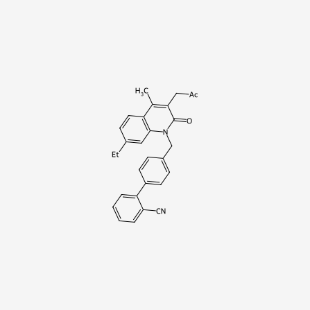 CCc1ccc2c(C)c(CC(C)=O)c(=O)n(Cc3ccc(-c4ccccc4C#N)cc3)c2c1